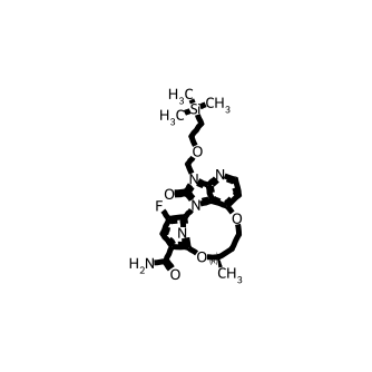 C[C@@H]1CCOc2ccnc3c2n(c(=O)n3COCC[Si](C)(C)C)-c2nc(c(C(N)=O)cc2F)O1